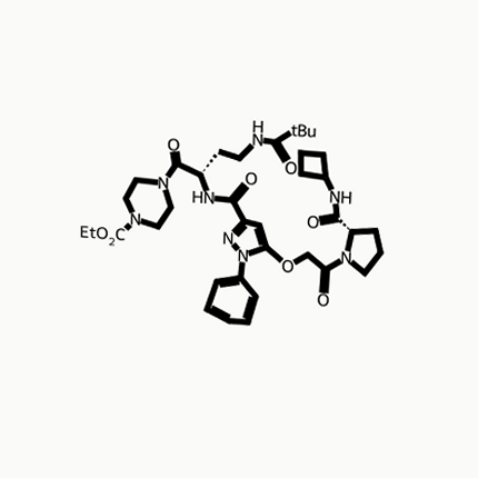 CCOC(=O)N1CCN(C(=O)[C@H](CCNC(=O)C(C)(C)C)NC(=O)c2cc(OCC(=O)N3CCC[C@H]3C(=O)NC3CCC3)n(-c3ccccc3)n2)CC1